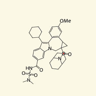 COc1ccc2c(c1)C1CC1(C(=O)N1C3CCCC1COC3)Cn1c-2c(C2CCCCC2)c2ccc(C(=O)NS(=O)(=O)N(C)C)cc21